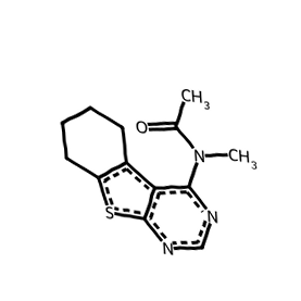 CC(=O)N(C)c1ncnc2sc3c(c12)CCCC3